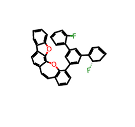 Fc1ccccc1-c1cc(C2=CC=CC[C@@H]2F)cc(-c2cccc3c2Oc2c(ccc4c2oc2ccccc24)C=C3)c1